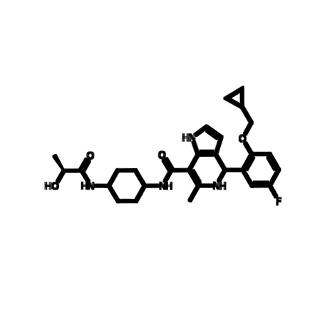 CC1=C(C(=O)NC2CCC(NC(=O)[C@H](C)O)CC2)c2[nH]ccc2C(c2cc(F)ccc2OCC2CC2)N1